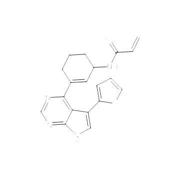 C=CC(=O)NC1C=C(c2ncnc3[nH]cc(-c4cccs4)c23)CCC1